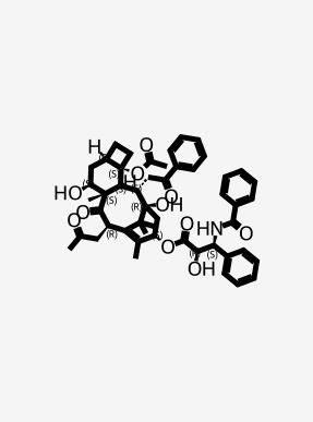 CC(=O)C[C@H]1C(=O)[C@@]2(C)[C@H]([C@H](CC(=O)c3ccccc3)[C@]3(O)C[C@H](OC(=O)[C@H](O)[C@@H](NC(=O)c4ccccc4)c4ccccc4)C(C)=C1C3(C)C)[C@]1(OC(C)=O)CC[C@@H]1C[C@@H]2O